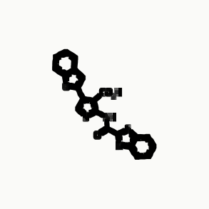 O=C(Nc1scc(-c2cc3ccccc3o2)c1C(=O)O)c1nc2ccccc2s1